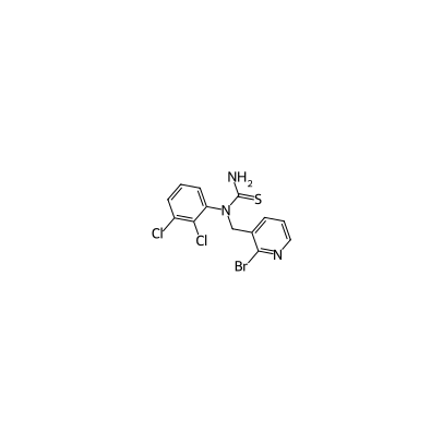 NC(=S)N(Cc1cccnc1Br)c1cccc(Cl)c1Cl